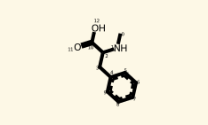 CNC(Cc1[c]cccc1)C(=O)O